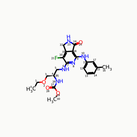 CCOC[C@@H](CNc1nc(Nc2cccc(C)c2)c2c(c1F)CNC2=O)NC(=O)OC